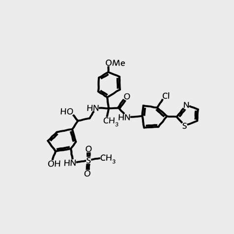 COc1ccc(C(C)(NCC(O)c2ccc(O)c(NS(C)(=O)=O)c2)C(=O)Nc2ccc(-c3nccs3)c(Cl)c2)cc1